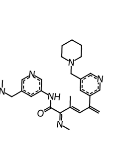 C=C(/C=C(C)/C(=N\C)C(=O)Nc1cncc(CN(C)C)c1)c1cncc(CN2CCCCC2)c1